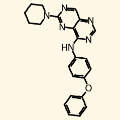 c1ccc(Oc2ccc(Nc3ncnc4cnc(N5CCCCC5)nc34)cc2)cc1